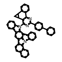 c1ccc(-c2ccc(-c3nc4c(c(-n5c6ccccc6c6cc7c8ccc9ccccc9c8n8c9ccccc9c(c65)c78)n3)C3CC3c3ccccc3-4)cc2)cc1